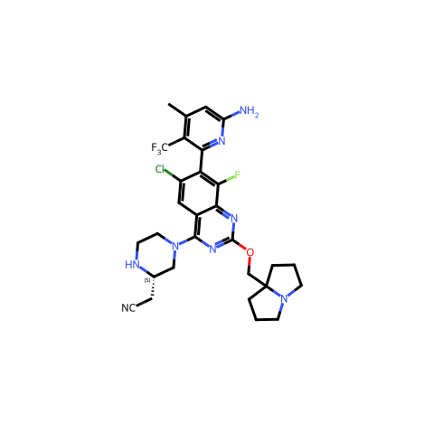 Cc1cc(N)nc(-c2c(Cl)cc3c(N4CCN[C@@H](CC#N)C4)nc(OCC45CCCN4CCC5)nc3c2F)c1C(F)(F)F